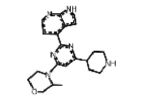 CC1COCCN1c1cc(C2CCNCC2)nc(-c2ccnc3[nH]ccc23)n1